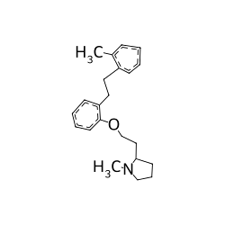 Cc1ccccc1CCc1ccccc1OCCC1CCCN1C